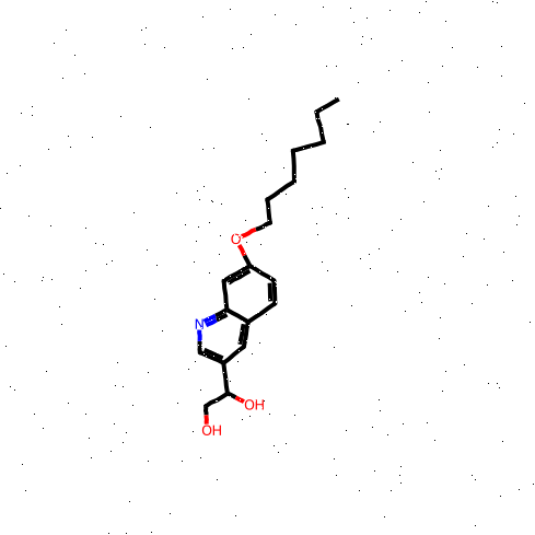 CCCCCCCOc1ccc2cc(C(O)CO)cnc2c1